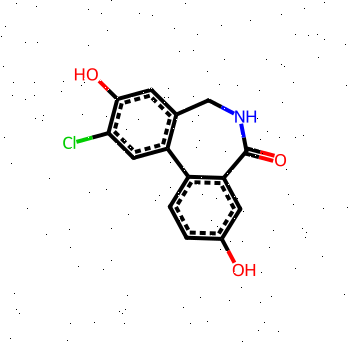 O=C1NCc2cc(O)c(Cl)cc2-c2ccc(O)cc21